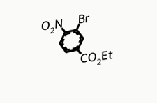 CCOC(=O)c1ccc([N+](=O)[O-])c(Br)c1